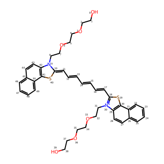 OCCOCCOCCN1/C(=C/C=C/C=C/C=C/c2sc3c4ccccc4ccc3[n+]2CCOCCOCCO)Sc2c1ccc1ccccc21